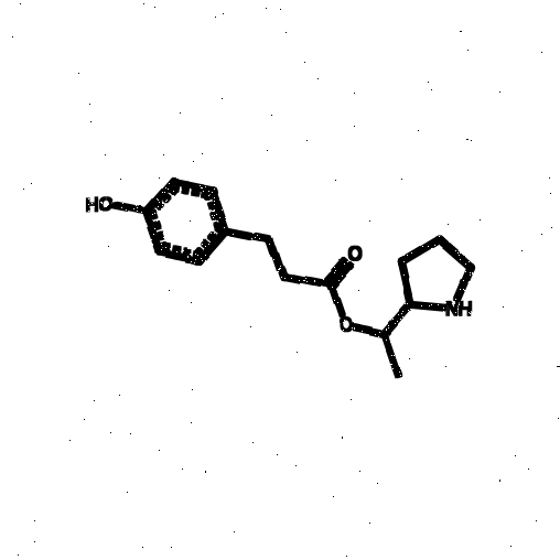 CC(OC(=O)CCc1ccc(O)cc1)C1CCCN1